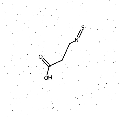 O=C(O)CCN=S